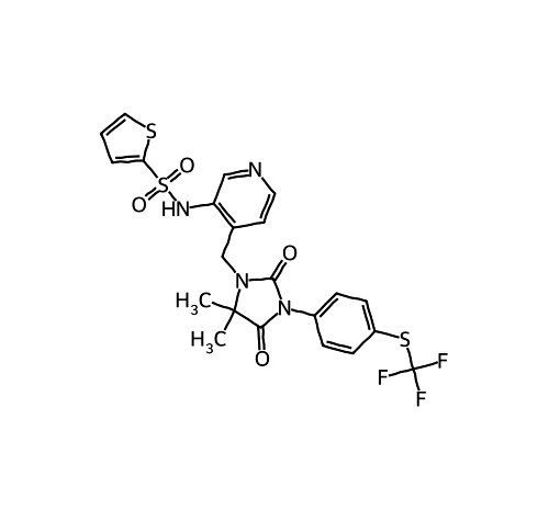 CC1(C)C(=O)N(c2ccc(SC(F)(F)F)cc2)C(=O)N1Cc1ccncc1NS(=O)(=O)c1cccs1